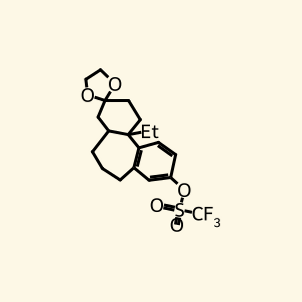 CCC12CCC3(CC1CCCc1cc(OS(=O)(=O)C(F)(F)F)ccc12)OCCO3